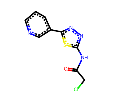 O=C(CCl)Nc1nnc(-c2cccnc2)s1